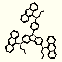 CCCN(c1ccc(-n2c3ccc(N(CCC)c4c5ccccc5cc5ccccc45)cc3c3cc(N(CCC)c4c5ccccc5cc5ccccc45)ccc32)cc1)c1c2ccccc2cc2ccccc12